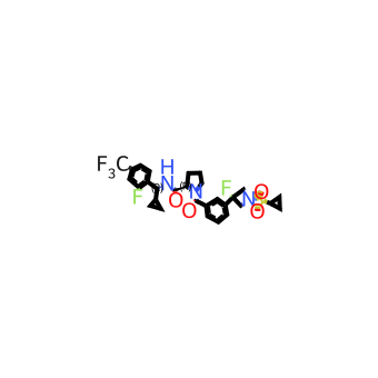 O=C(N[C@@H](c1ccc(C(F)(F)F)cc1F)C1CC1)[C@H]1CCCN1C(=O)c1cccc(C2(F)CN(S(=O)(=O)C3CC3)C2)c1